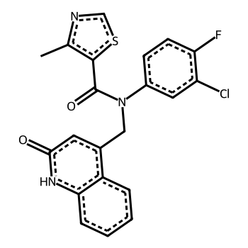 Cc1ncsc1C(=O)N(Cc1cc(=O)[nH]c2ccccc12)c1ccc(F)c(Cl)c1